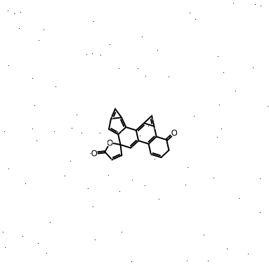 O=C1C=CC2(C=c3c4c(c5c(c3-c3c6cc-6cc32)C=5)C(=O)CC=C4)O1